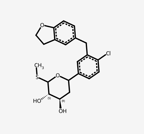 CSC1OC(c2ccc(Cl)c(Cc3ccc4c(c3)CCO4)c2)C[C@@H](O)[C@@H]1O